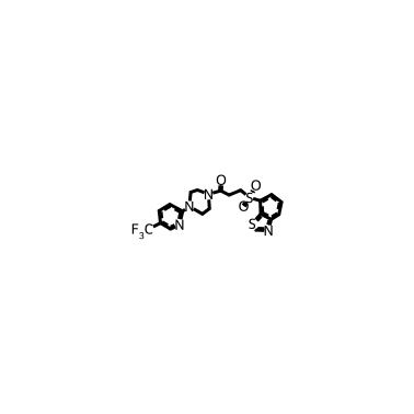 O=C(CCS(=O)(=O)c1cccc2ncsc12)N1CCN(c2ccc(C(F)(F)F)cn2)CC1